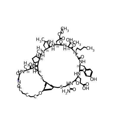 CCCCN1CC(=O)N[C@@H](Cc2ccc(O)cc2)C(=O)N[C@@H](CCC(=O)O)C(=O)N[C@H](C(N)=O)CSCc2cc3cc(c2)OCCCCCCO/N=C/C(=O)N[C@@H](C)C(=O)N[C@@H](CSC3)C(=O)C2CCC[C@H]2C(C)N[C@@H](CC(C)C)C(=O)N[C@@H](CC(=O)OOC)C(=O)N[C@@H]([C@@H](C)O)C1=O